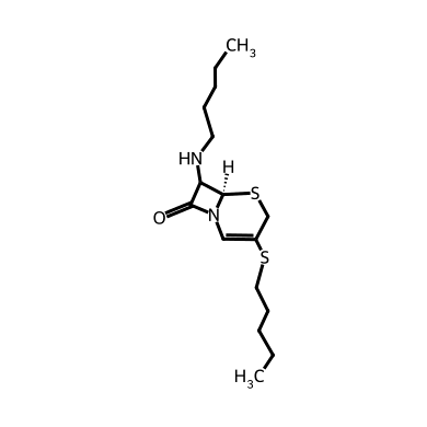 CCCCCNC1C(=O)N2C=C(SCCCCC)CS[C@H]12